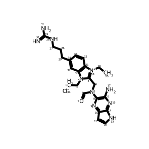 CCn1c(CN(C=O)c2nc3cc[nH]c3nc2N)[n+](CC)c2ccc(CCCNC(=N)N)cc21.[Cl-]